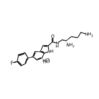 Cl.Cl.NCCC[C@H](N)CNC(=O)c1cc2cc(-c3ccc(F)cc3)ccc2[nH]1